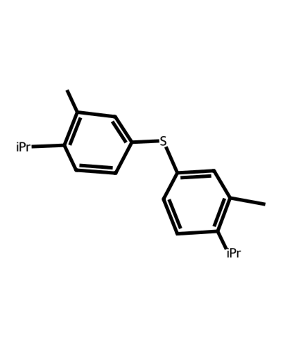 Cc1cc(Sc2ccc(C(C)C)c(C)c2)ccc1C(C)C